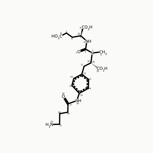 CN(C(=O)N[C@@H](CCC(=O)O)C(=O)O)[C@@H](Cc1ccc(NC(=O)CCCN)cc1)C(=O)O